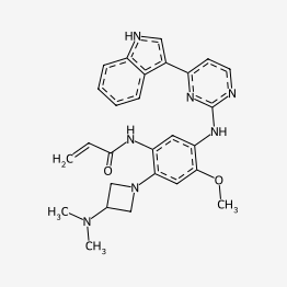 C=CC(=O)Nc1cc(Nc2nccc(-c3c[nH]c4ccccc34)n2)c(OC)cc1N1CC(N(C)C)C1